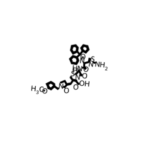 COc1cccc(CN2CCC(=CC3=C(C(=O)O)N4C(=O)[C@@H](NC(=O)C(=NOC(c5ccccc5)(c5ccccc5)c5ccccc5)c5csc(N)n5)[C@H]4SC3)C2=O)c1